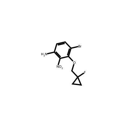 Nc1ccc(Br)c(OCC2(F)CC2)c1[N+](=O)[O-]